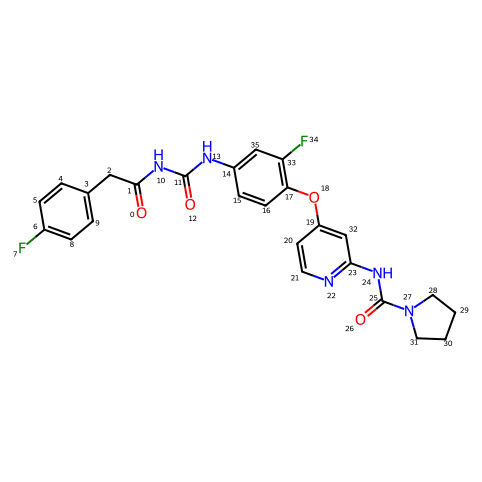 O=C(Cc1ccc(F)cc1)NC(=O)Nc1ccc(Oc2ccnc(NC(=O)N3CCCC3)c2)c(F)c1